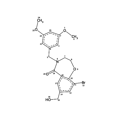 COc1cc(CN2CCOc3c(Br)cc(CO)cc3C2=O)cc(OC)c1